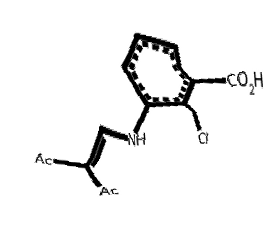 CC(=O)C(=CNc1cccc(C(=O)O)c1Cl)C(C)=O